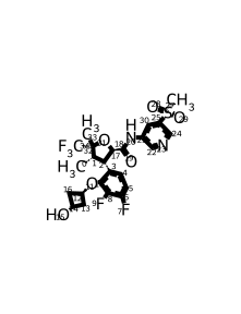 C[C@H]1[C@@H](c2ccc(F)c(F)c2O[C@H]2C[C@@H](O)C2)[C@H](C(=O)Nc2cncc(S(C)(=O)=O)c2)O[C@@]1(C)C(F)(F)F